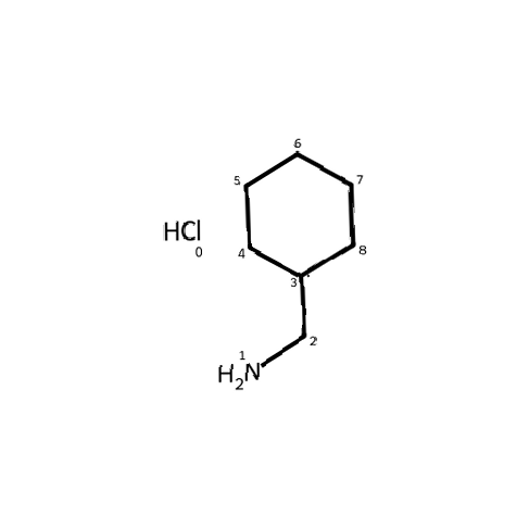 Cl.NC[C]1CCCCC1